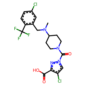 CN(Cc1cc(Cl)ccc1C(F)(F)F)C1CCN(C(=O)n2cc(Cl)c(C(=O)O)n2)CC1